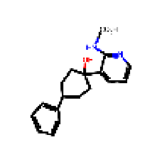 O=C(O)Nc1ncccc1C1(O)CCC(c2ccccc2)CC1